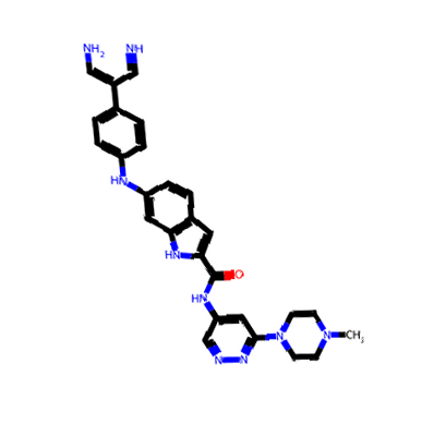 CN1CCN(c2cc(NC(=O)c3cc4ccc(Nc5ccc(/C(C=N)=C/N)cc5)cc4[nH]3)cnn2)CC1